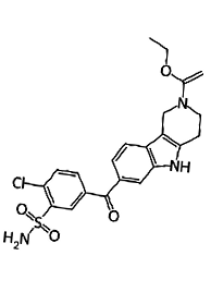 C=C(OCC)N1CCc2[nH]c3cc(C(=O)c4ccc(Cl)c(S(N)(=O)=O)c4)ccc3c2C1